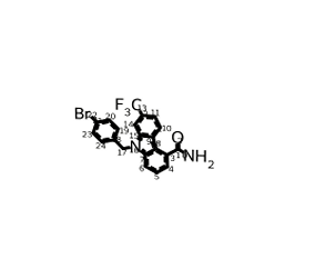 NC(=O)c1cccc2c1c1[c]cc(C(F)(F)F)cc1n2Cc1ccc(Br)cc1